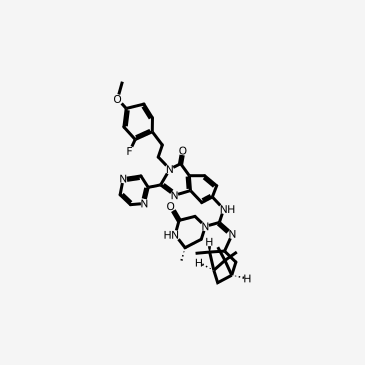 COc1ccc(CCn2c(-c3cnccn3)nc3cc(N/C(=N/C4C[C@H]5C[C@@H]([C@@H]4C)C5(C)C)N4CC(=O)N[C@@H](C)C4)ccc3c2=O)c(F)c1